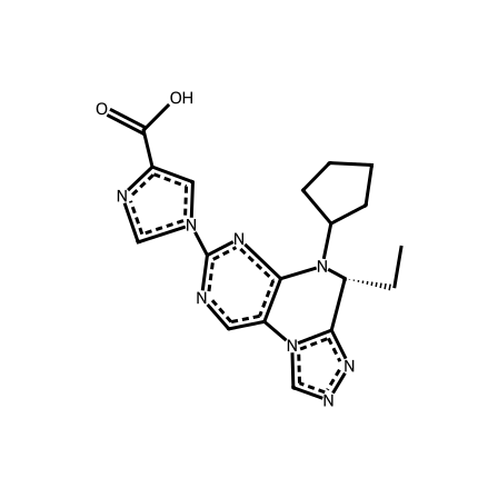 CC[C@@H]1c2nncn2-c2cnc(-n3cnc(C(=O)O)c3)nc2N1C1CCCC1